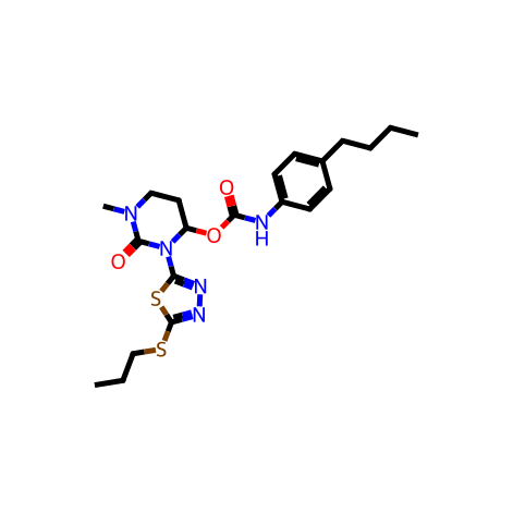 CCCCc1ccc(NC(=O)OC2CCN(C)C(=O)N2c2nnc(SCCC)s2)cc1